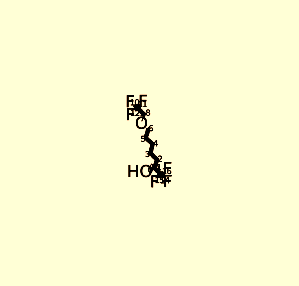 O[C@H](CCCCCOCC(F)(F)F)C(F)(F)F